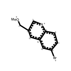 COCc1cnc2ccc(Br)cc2c1